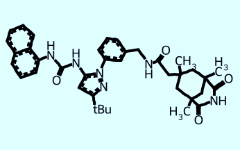 CC1(CC(=O)NCc2cccc(-n3nc(C(C)(C)C)cc3NC(=O)Nc3cccc4ccccc34)c2)CC2(C)CC(C)(C1)C(=O)NC2=O